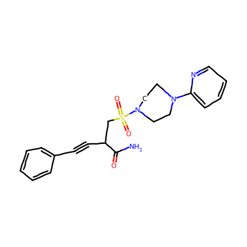 NC(=O)C(C#Cc1ccccc1)CS(=O)(=O)N1CCN(c2ccccn2)CC1